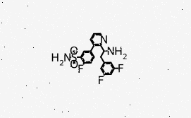 N[C@@H](Cc1cc(F)cc(F)c1)c1ncccc1-c1ccc(F)c(S(N)(=O)=O)c1